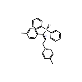 Cc1ccc(C/C=C(\c2ccc(C)cc2)P(=O)(c2ccccc2)c2ccccc2)cc1